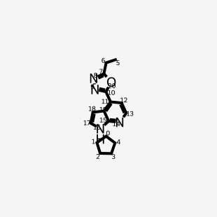 C1CCCC1.CCc1nnc(-c2ccnc3[nH]ccc23)o1